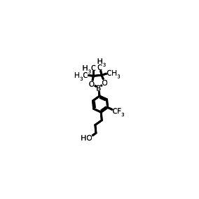 CC1(C)OB(c2ccc(CCCO)c(C(F)(F)F)c2)OC1(C)C